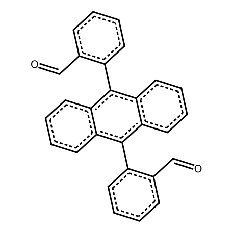 O=Cc1ccccc1-c1c2ccccc2c(-c2ccccc2C=O)c2ccccc12